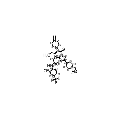 CCc1c(N2CCNCC2)c(=O)n2nc(C3=CCC4(CC3)COC4)nc2n1CC(=O)Nc1ccc(C(F)(F)F)cc1Cl